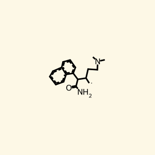 [CH2]C(CCN(C)C)C(C(N)=O)c1cccc2ccccc12